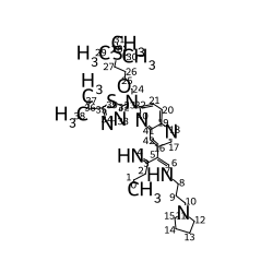 CCCC(=N)/C(=C\NCCCN1CCCC1)c1cnc2ccc(N(COCC[Si](C)(C)C)c3nnc(C(C)C)s3)nc2c1